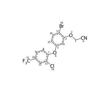 N#CCOc1cc(Oc2ccc(C(F)(F)F)cc2Cl)ccc1Br